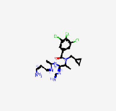 C=C(/N=C\C=C/N)N/C(=N\C=N)C(C)N(CC1CC1)C(=O)c1cc(Cl)c(Cl)c(Cl)c1